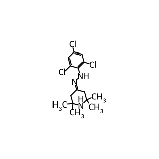 CC1(C)CC(=NNc2c(Cl)cc(Cl)cc2Cl)CC(C)(C)N1